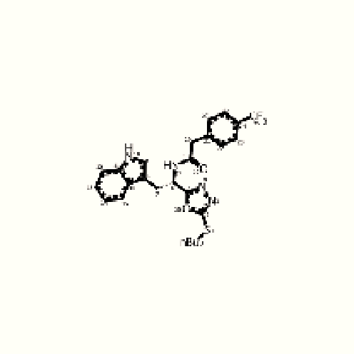 CCCCSc1nnc([C@H](Cc2c[nH]c3ccccc23)NC(=O)Cc2ccc(C(F)(F)F)cc2)o1